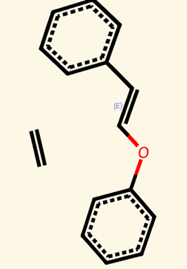 C(=C\c1ccccc1)/Oc1ccccc1.C=C